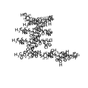 CC(=O)OCC1=C(C(=O)O)N2C(=O)[C@@H](NC(=O)CSc3ccncc3)[C@H]2SC1.Cc1nnc(SCC2=C(C(=O)O)N3C(=O)[C@@H](NC(=O)Cn4cc(Cl)c(=O)c(Cl)c4)[C@H]3SC2)s1.Cc1nnc(SCC2=C(C(=O)O)N3C(=O)[C@@H](NC(=O)Cn4cnnn4)[C@H]3SC2)s1.Cn1nnnc1SCC1=C(C(=O)O)N2C(=O)[C@@H](NC(=O)CSC(F)(F)F)[C@H]2SC1.N[C@@H](C(=O)N[C@@H]1C(=O)N2C(C(=O)O)=C(CSc3cnn[nH]3)CS[C@H]12)c1ccc(O)cc1